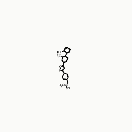 CCCN(C)CC1=CCC(c2noc(-c3ccc(-c4ccccc4C)c(C(F)(F)F)c3)n2)C=C1